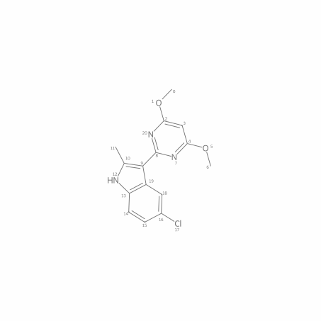 COc1cc(OC)nc(-c2c(C)[nH]c3ccc(Cl)cc23)n1